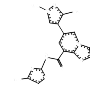 Cc1csc(NC(=O)c2cc(-c3cn(C)nc3C)cn3ccnc23)n1